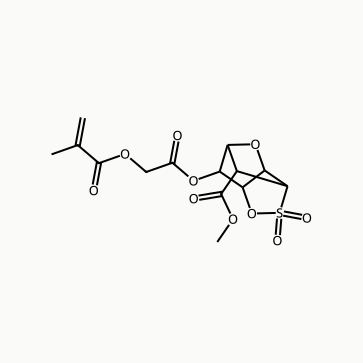 C=C(C)C(=O)OCC(=O)OC1C2OS(=O)(=O)C3C2OC1C3C(=O)OC